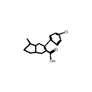 CC1CCC2CC(C(=O)O)=C(c3ccc(Cl)cc3)CC12